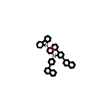 C1=Cc2c(n(-c3ccc(N(c4ccc(-c5cccc6ccccc56)cc4)c4cc(-c5ccc6ccccc6c5)ccc4-c4ccccc4)cc3)c3ccccc23)CC1